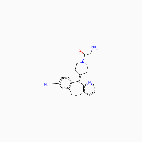 N#Cc1ccc2c(c1)CCc1cccnc1C2=C1CCN(C(=O)CN)CC1